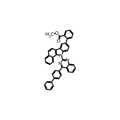 COC(=O)c1ccccc1-c1ccc2c(c1)c1ccc3ccccc3c1n2-c1nc(-c2ccc(-c3ccccc3)cc2)c2ccccc2n1